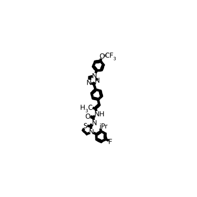 C/C(=C\c1ccc(-c2ncn(-c3ccc(OC(F)(F)F)cc3)n2)cc1)NC(=O)/N=C1\SCCN1c1ccc(F)cc1C(C)C